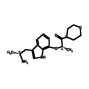 C[C@H](Oc1cccc2c(C[C@@H](C)N)c[nH]c12)C(=O)N1CCOCC1